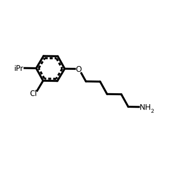 CC(C)c1ccc(OCCCCCN)cc1Cl